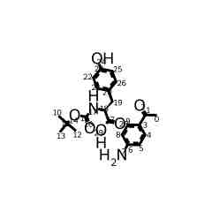 CC(=O)c1ccc(N)cc1.CC(C)(C)OC(=O)N[C@@H](Cc1ccc(O)cc1)C(=O)O